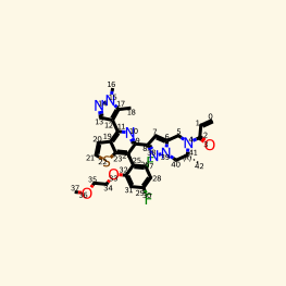 C=CC(=O)N1Cc2cc(-c3nc(-c4cnn(C)c4C)c4ccsc4c3-c3c(F)cc(F)cc3OCCOC)nn2C[C@H]1C